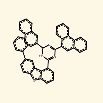 c1ccc(-c2ccc3oc4cccc(C5=NC(c6cc7ccccc7c7ccccc67)=NC(c6ccc7ccccc7c6)N5)c4c3c2)cc1